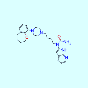 NC(=O)N(CCCCN1CCN(c2cccc3c2OCCCC3)CC1)c1cc2cccnc2[nH]1